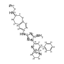 CC(C)CN[C@H]1CCc2ccc(Nc3nc(N)n(-c4cc(-c5ccccc5)c5c(n4)C4CCN5CC4)n3)cc2CC1